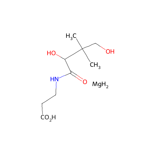 CC(C)(CO)C(O)C(=O)NCCC(=O)O.[MgH2]